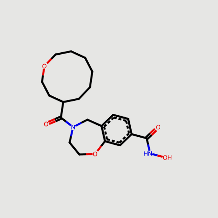 O=C(NO)c1ccc2c(c1)OCCN(C(=O)C1CCCCCCOCC1)C2